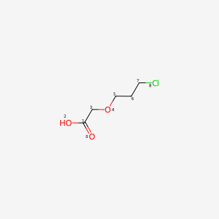 O=C(O)COCCCCl